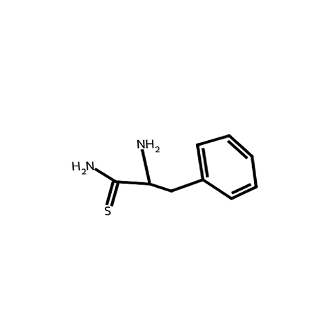 NC(=S)C(N)Cc1ccccc1